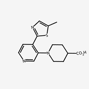 Cc1cnc(-c2ccncc2N2CCC(C(=O)O)CC2)s1